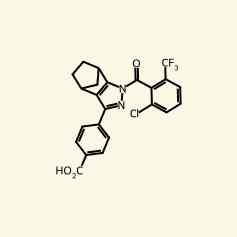 O=C(O)c1ccc(-c2nn(C(=O)c3c(Cl)cccc3C(F)(F)F)c3c2C2CCC3C2)cc1